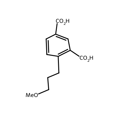 COCCCc1ccc(C(=O)O)cc1C(=O)O